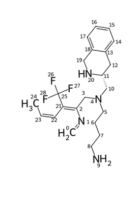 C=N/C(CN(CCCCN)C[C@H]1Cc2ccccc2CN1)=C(\C=C/C)C(F)(F)F